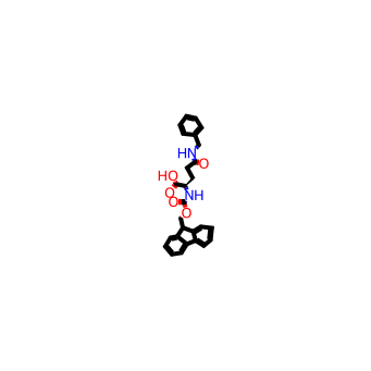 O=C(CC[C@@H](NC(=O)OCC1c2ccccc2-c2ccccc21)C(=O)O)NCc1ccccc1